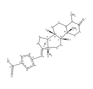 CC1C(=O)CC[C@@]2(C)C1CC[C@@H]1[C@H]2CC[C@]2(C)C(=Cc3ccc([N+](=O)[O-])cc3)CC[C@@H]12